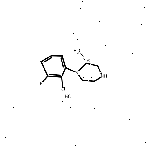 C[C@@H]1CNCCN1c1cccc(F)c1Cl.Cl